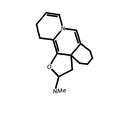 CNC1CC23CCCCC2=CN2C=CCCC2=C3O1